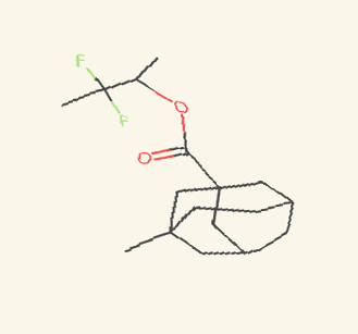 CC(OC(=O)C12CC3CC(CC(C)(C3)C1)C2)C(C)(F)F